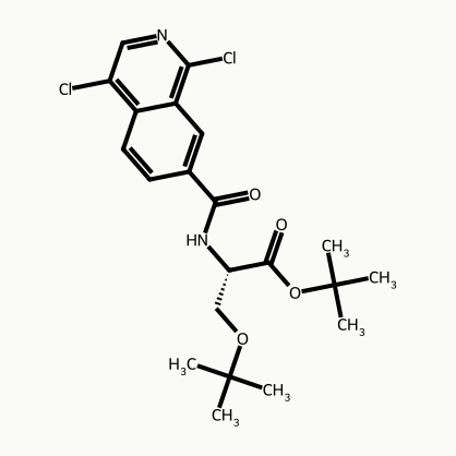 CC(C)(C)OC[C@H](NC(=O)c1ccc2c(Cl)cnc(Cl)c2c1)C(=O)OC(C)(C)C